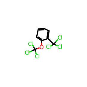 ClC(Cl)(Cl)Oc1ccccc1C(Cl)(Cl)Cl